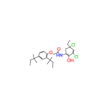 CCC1(Cl)C=C(Cl)C(O)=C(NC(=O)COc2ccc(C(C)(C)CC)cc2C(C)(C)CC)C1